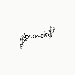 Cn1nc(N2CCC(=O)NC2=O)c2cc(F)c(N3CCN(CCN4CCC(COc5cc(F)c6c(=O)[nH]c(CSC7CCOCC7)nc6c5)CC4)CC3)cc21